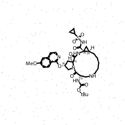 COc1ccc2c(O[C@@H]3C[C@H]4C(=O)N[C@]5(C(=O)NS(=O)(=O)C6CC6)C[C@H]5CCCCCNC[C@H](NC(=O)OC(C)(C)C)C(=O)N4C3)nccc2c1